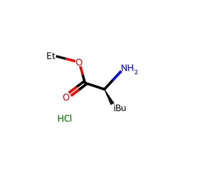 CCOC(=O)[C@@H](N)C(C)CC.Cl